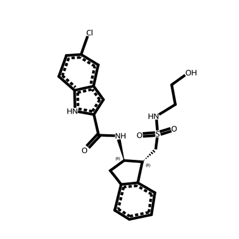 O=C(N[C@@H]1Cc2ccccc2[C@H]1CS(=O)(=O)NCCO)c1cc2cc(Cl)ccc2[nH]1